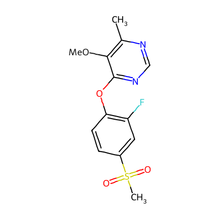 COc1c(C)ncnc1Oc1ccc(S(C)(=O)=O)cc1F